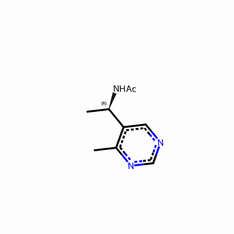 CC(=O)N[C@H](C)c1cncnc1C